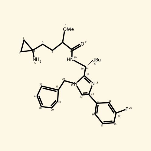 COC(CCC1(N)CC1)C(=O)N[C@@H](c1nc(-c2cccc(F)c2)cn1Cc1ccccc1)C(C)(C)C